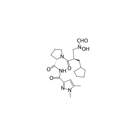 Cc1cc(C(=O)NC(=O)[C@@H]2CCCN2C(=O)[C@H](CC2CCCC2)CN(O)C=O)nn1C